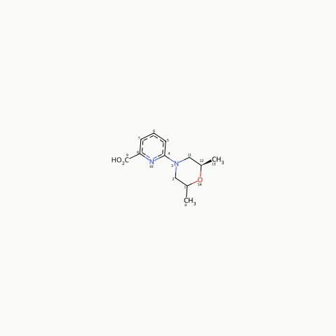 CC1CN(c2cccc(C(=O)O)n2)C[C@@H](C)O1